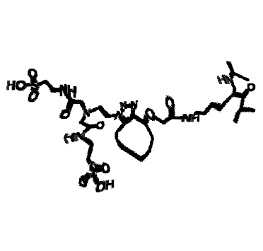 CC(C)N[C@H](CCCCNC(=O)COC1CCCCCc2c1nnn2CCN(CC(=O)NCCS(=O)(=O)O)CC(=O)NCCS(=O)(=O)O)C(=O)C(C)C